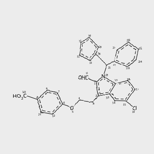 O=Cc1c(CCOc2ccc(C(=O)O)cc2)c2cc(Cl)ccc2n1C(c1ccccc1)c1ccccc1